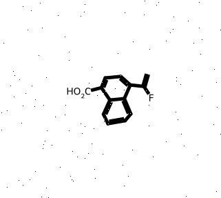 C=C(F)c1ccc(C(=O)O)c2ccccc12